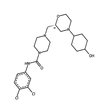 O=C(Nc1ccc(Cl)c(Cl)c1)N1CCN(C[C@H]2CN(C3CCC(O)CC3)CCO2)CC1